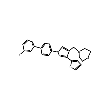 Fc1cccc(-c2ccc(-n3cc(CN4CCOCC4)c(-c4ccco4)n3)cc2)c1